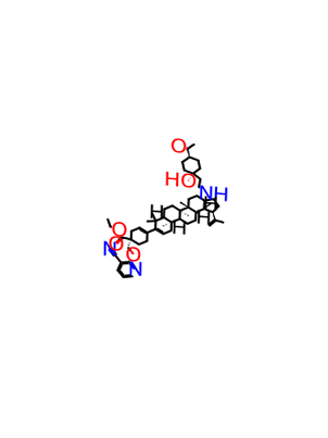 C=C(C)[C@@H]1CC[C@]2(NCC[C@]3(O)CC[C@H](C(C)=O)CC3)CC[C@]3(C)[C@H](CC[C@@H]4[C@@]5(C)CC=C(C6=CC[C@](COc7ncccc7C#N)(C(=O)OCC)CC6)C(C)(C)[C@@H]5CC[C@]43C)[C@@H]12